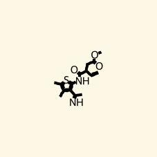 C=CC(CC(=O)OC)C(=O)Nc1sc(C)c(C)c1C(C)=N